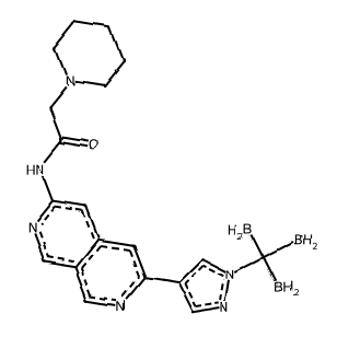 BC(B)(B)n1cc(-c2cc3cc(NC(=O)CN4CCCCC4)ncc3cn2)cn1